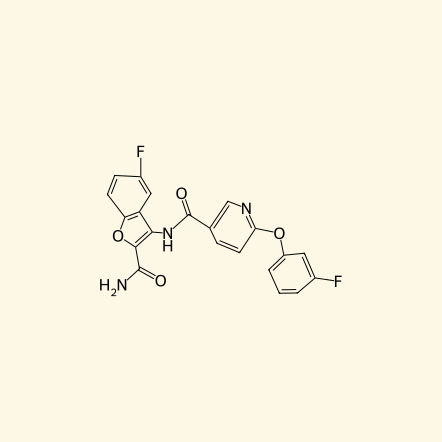 NC(=O)c1oc2ccc(F)cc2c1NC(=O)c1ccc(Oc2cccc(F)c2)nc1